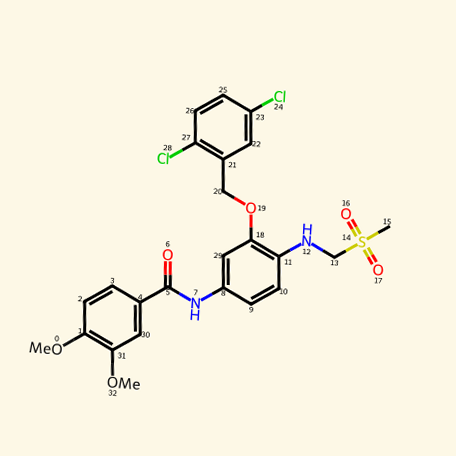 COc1ccc(C(=O)Nc2ccc(NCS(C)(=O)=O)c(OCc3cc(Cl)ccc3Cl)c2)cc1OC